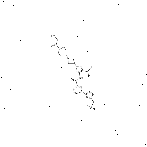 O=C(Nc1cn(C2CN(C3CCN(C(=O)CO)CC3)C2)nc1C(F)F)c1cccc(-c2cnn(CC(F)(F)F)c2)n1